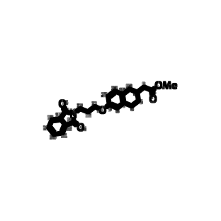 COC(=O)CC1CCc2cc(OCCCN3C(=O)c4ccccc4C3=O)ccc2C1